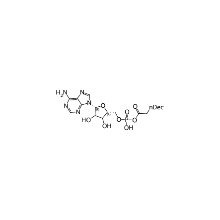 CCCCCCCCCCCC(=O)OP(=O)(O)OC[C@H]1O[C@@H](n2cnc3c(N)ncnc32)C(O)C1O